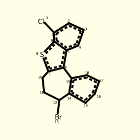 Clc1cccc2c3c(sc12)CCC(Br)c1ccccc1-3